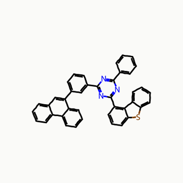 c1ccc(-c2nc(-c3cccc(-c4cc5ccccc5c5ccccc45)c3)nc(-c3cccc4sc5ccccc5c34)n2)cc1